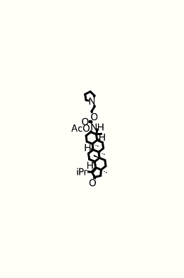 CC(=O)O[C@@]1(NC(=O)OCCN2CCCC2)CC[C@]2(C)[C@H]3CC[C@@H]4C5=C(C(C)C)C(=O)C[C@]5(C)CC[C@@]4(C)[C@]3(C)CC[C@H]2C1(C)C